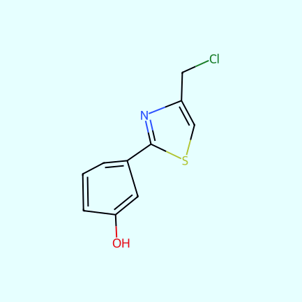 Oc1cccc(-c2nc(CCl)cs2)c1